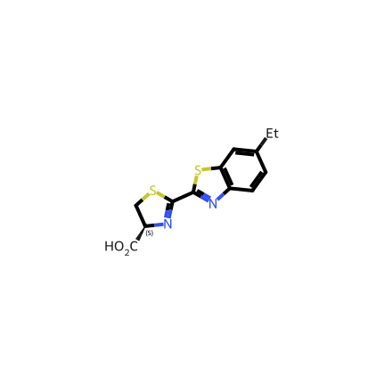 CCc1ccc2nc(C3=N[C@@H](C(=O)O)CS3)sc2c1